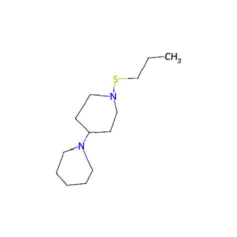 CCCSN1CCC(N2CCCCC2)CC1